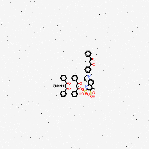 Cc1c(S(=O)(=O)O)c(S(=O)(=O)O)nc2c3c(ccc12)N(C)CC=C3.O=C(CC(=O)c1ccccc1)c1ccccc1.O=C(CC(=O)c1ccccc1)c1ccccc1.O=C(CC(=O)c1ccccc1)c1ccccc1.[Eu].[NaH].[NaH]